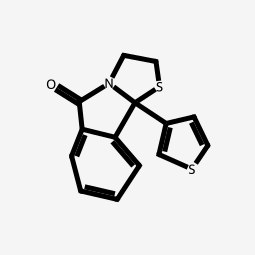 O=C1c2ccccc2C2(c3ccsc3)SCCN12